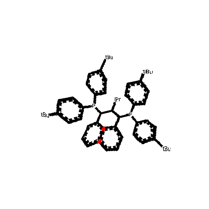 CC(C)C(C(c1ccccc1)P(c1ccc(C(C)(C)C)cc1)c1ccc(C(C)(C)C)cc1)C(c1ccccc1)P(c1ccc(C(C)(C)C)cc1)c1ccc(C(C)(C)C)cc1